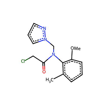 COc1cccc(C)c1N(Cn1cccn1)C(=O)CCl